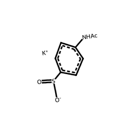 CC(=O)Nc1ccc(S(=O)[O-])cc1.[K+]